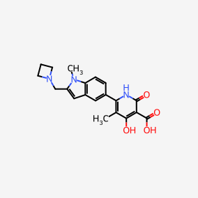 Cc1c(-c2ccc3c(c2)cc(CN2CCC2)n3C)[nH]c(=O)c(C(=O)O)c1O